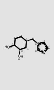 OC1CC[C@@H](Cn2ccnc2)C[C@H]1O